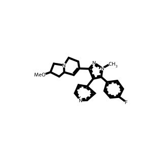 COC1CC2C=C(c3nn(C)c(-c4ccc(F)cc4)c3-c3ccncc3)CCN2C1